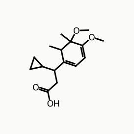 COC1=CC=C(C(CC(=O)O)C2CC2)C(C)C1(C)OC